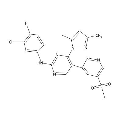 Cc1cc(C(F)(F)F)nn1-c1nc(Nc2ccc(F)c(Cl)c2)ncc1-c1cncc(S(C)(=O)=O)c1